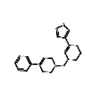 C1=C(c2ccsc2)CCCC1CN1CC=C(c2ccccc2)CC1